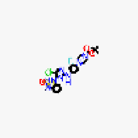 CN([SH]=O)c1ccccc1Nc1nc(Nc2ccc(N3CCN(C(=O)OC(C)(C)C)CC3)c(F)c2)ncc1Cl